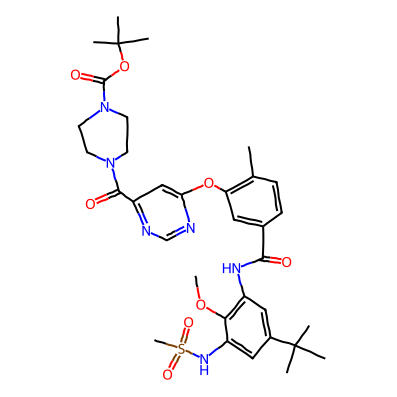 COc1c(NC(=O)c2ccc(C)c(Oc3cc(C(=O)N4CCN(C(=O)OC(C)(C)C)CC4)ncn3)c2)cc(C(C)(C)C)cc1NS(C)(=O)=O